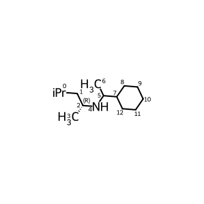 CC(C)C[C@@H](C)NC(C)C1CCCCC1